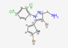 NCc1nn(-c2ccc(Cl)cc2Cl)c(-c2ccc(Br)[se]2)c1Br